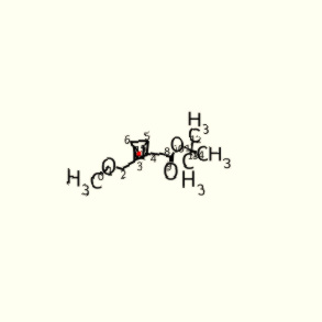 COCC12CC(C1)N(C(=O)OC(C)(C)C)C2